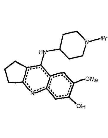 COc1cc2c(NC3CCN(C(C)C)CC3)c3c(nc2cc1O)CCC3